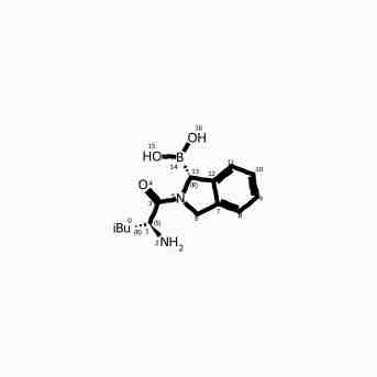 CC[C@@H](C)[C@H](N)C(=O)N1Cc2ccccc2[C@H]1B(O)O